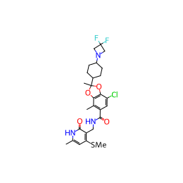 CSc1cc(C)[nH]c(=O)c1CNC(=O)c1cc(Cl)c2c(c1C)OC(C)(C1CCC(N3CC(F)(F)C3)CC1)O2